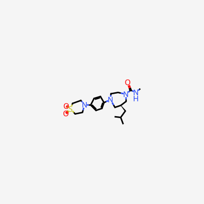 CNC(=O)N1CCN(c2ccc(N3CCS(=O)(=O)CC3)cc2)C[C@H](CC(C)C)C1